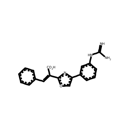 N=C(N)Nc1cccc(-c2coc(C(=Cc3ccccc3)C(=O)O)n2)c1